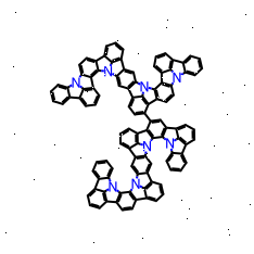 c1ccc2c(c1)c1cccc3c4c(ccc5c6cccc7c8cc9c(cc8n(c76)c54)c4ccc(-c5cc6c7cccc8c%10ccccc%10n(c87)c6c6c5c5cccc7c8cc%10c(cc8n6c75)c5cccc6c7ccc8c%11cccc%12c%13ccccc%13n(c%12%11)c8c7n%10c56)c5c6ccc7c(c8cccc%10c%11ccccc%11n7c%108)c6n9c45)n2c13